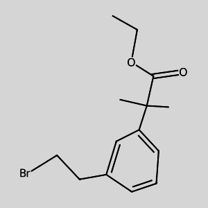 CCOC(=O)C(C)(C)c1cccc(CCBr)c1